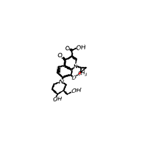 COc1c(N2CCC(O)C(CO)C2)ccc2c(=O)c(C(=O)O)cn(C3CC3)c12